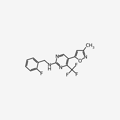 Cc1cc(-c2cnc(NCc3ccccc3F)nc2C(F)(F)F)on1